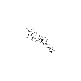 Cc1cc(Cl)[n+]([O-])c(Cl)c1C(=O)N1CCC(C)(N2CCC(NCc3ccsc3)CC2)CC1